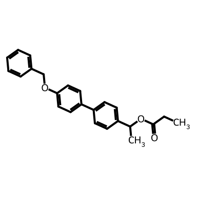 CCC(=O)OC(C)c1ccc(-c2ccc(OCc3ccccc3)cc2)cc1